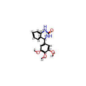 COc1cc(C2NC(=O)Nc3ccccc32)cc(OC)c1OC